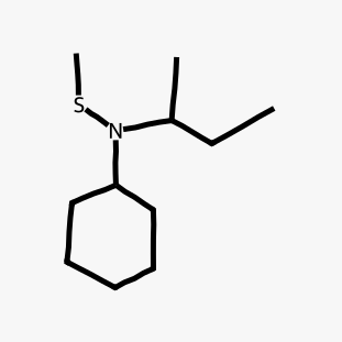 CCC(C)N(SC)C1CCCCC1